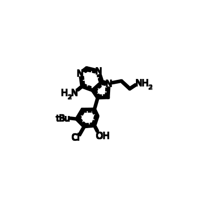 CC(C)(C)c1cc(-c2cn(CCN)c3ncnc(N)c23)cc(O)c1Cl